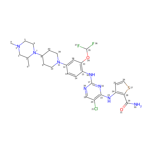 CC1CN(C)CCN1C1CCN(c2ccc(Nc3ncc(Cl)c(Nc4ccsc4C(N)=O)n3)c(OC(F)F)c2)CC1